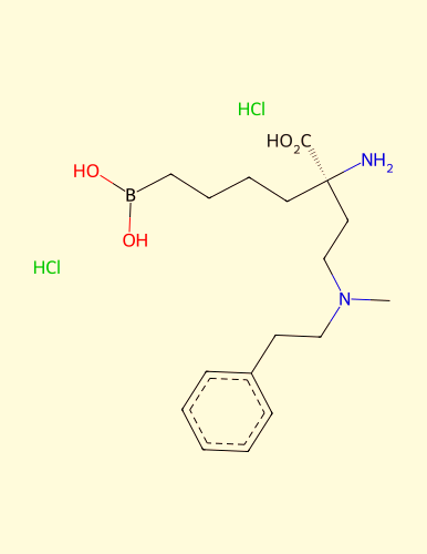 CN(CCc1ccccc1)CC[C@](N)(CCCCB(O)O)C(=O)O.Cl.Cl